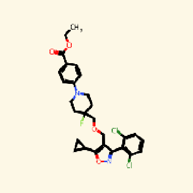 CCOC(=O)c1ccc(N2CCC(F)(COCc3c(-c4c(Cl)cccc4Cl)noc3C3CC3)CC2)cc1